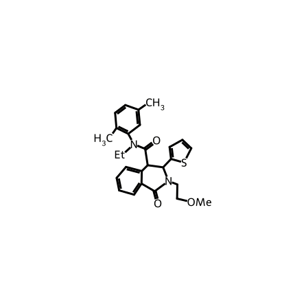 CCN(C(=O)C1c2ccccc2C(=O)N(CCOC)C1c1cccs1)c1cc(C)ccc1C